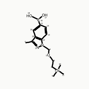 Cc1nn(COCC[Si](C)(C)C)c2ccc(B(O)O)cc12